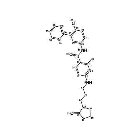 Cc1nc(NCCCN2CCCC2=O)ccc1C(=O)Nc1ccc(Cl)c(-c2ccccn2)c1